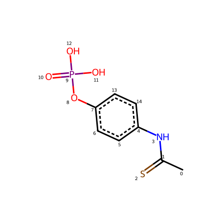 CC(=S)Nc1ccc(OP(=O)(O)O)cc1